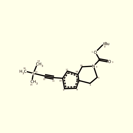 CC(C)(C)OC(=O)N1CCc2ccc(C#CS(C)(C)C)cc2C1